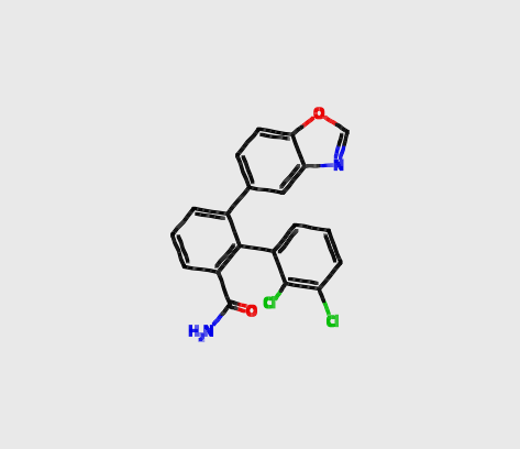 NC(=O)c1cccc(-c2ccc3ocnc3c2)c1-c1cccc(Cl)c1Cl